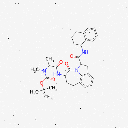 CC(C(=O)NC1CCc2cccc3c2N(C1=O)C(C(=O)NC1CCCc2ccccc21)C3)N(C)C(=O)OC(C)(C)C